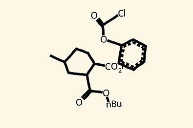 CCCCOC(=O)C1CC(C)CCC1C(=O)O.O=C(Cl)Oc1ccccc1